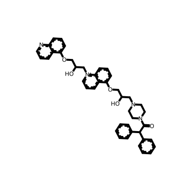 O=C(C(c1ccccc1)c1ccccc1)N1CCN(CC(O)COc2cccc3c2ccc[n+]3CC(O)COc2cccc3ncccc23)CC1